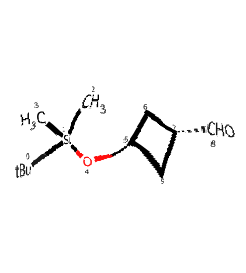 CC(C)(C)[Si](C)(C)O[C@H]1C[C@H](C=O)C1